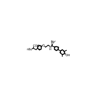 CCCCC(Cc1ccc(OCCNC(=O)c2ccc(-c3cc(C)c(O)c(C)c3)cc2)cc1)C(=O)[O-].[Na+]